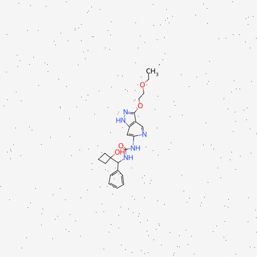 CCOCCOc1n[nH]c2cc(NC(=O)NC(c3ccccc3)C3(O)CCC3)ncc12